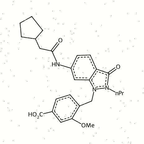 CCCn1c(=O)c2ccc(NC(=O)CC3CCCC3)cc2n1Cc1ccc(C(=O)O)cc1OC